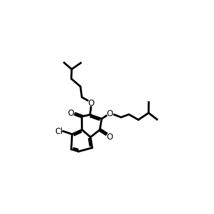 CC(C)CCCOC1=C(OCCCC(C)C)C(=O)c2c(Cl)cccc2C1=O